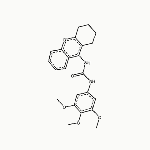 COc1cc(NC(=O)Nc2c3c(nc4ccccc24)CCCC3)cc(OC)c1OC